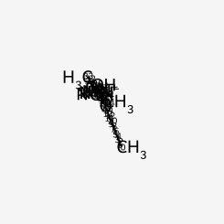 CCCCCCCCCCCCCCCCOCC(CO[C@@H]1OC(CN=[N+]=[N-])[C@H](OCCCC)C(O)[C@@H]1N=[N+]=[N-])OC